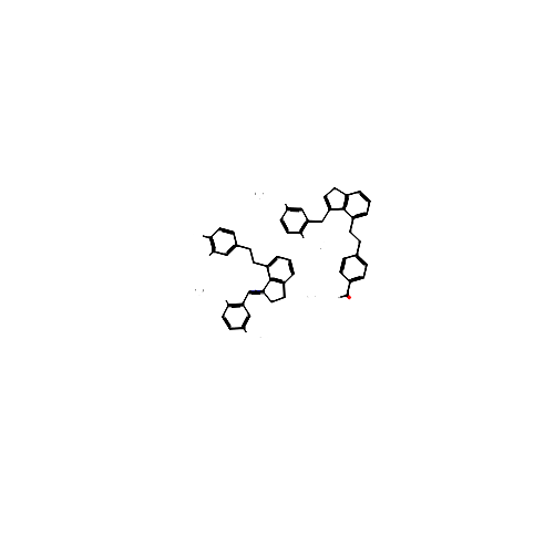 COC(=O)c1ccc(CCc2cccc3c2C(Cc2cc(OC)ccc2OC)=CC3)cc1.COc1ccc(OC)c(/C=C2\CCc3cccc(CCc4ccc(C(=O)O)c(C)c4)c32)c1